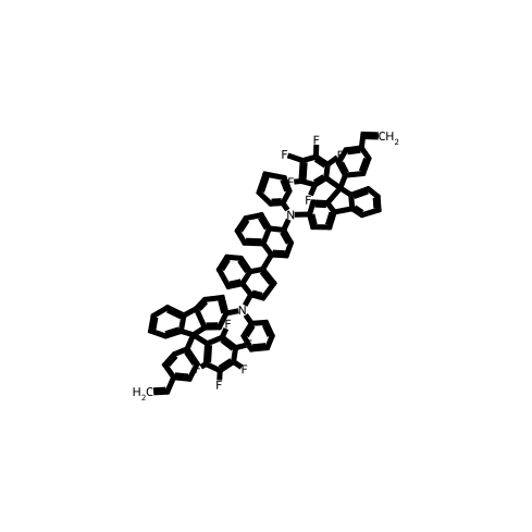 C=Cc1ccc(C2(c3c(F)c(F)c(F)c(F)c3F)c3ccccc3-c3ccc(N(c4ccccc4)c4ccc(-c5ccc(N(c6ccccc6)c6ccc7c(c6)C(c6ccc(C=C)cc6)(c6c(F)c(F)c(F)c(F)c6F)c6ccccc6-7)c6ccccc56)c5ccccc45)cc32)cc1